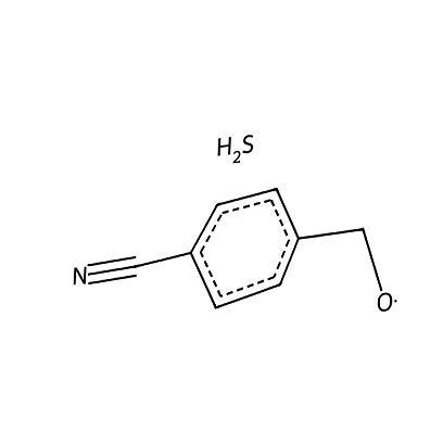 N#Cc1ccc(C[O])cc1.S